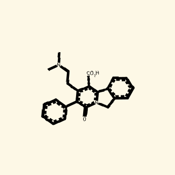 CN(C)CCc1c(C(=O)O)c2n(c(=O)c1-c1ccccc1)Cc1ccccc1-2